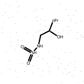 CCCC(O)CN[SH](=O)=O